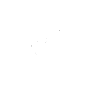 CC1(C)Oc2ccccc2CC1OC(=O)[C@@H]1CCCN1